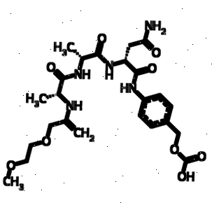 C=C(COCCOC)N[C@H](C)C(=O)N[C@H](C)C(=O)N[C@H](CC(N)=O)C(=O)Nc1ccc(COC(=O)O)cc1